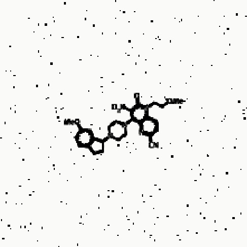 COCCn1c(=O)c([N+](=O)[O-])c(N2CCN(C3CCc4ccc(OC)cc43)CC2)c2nc(C#N)ccc21